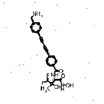 CC(O)(C(F)F)[C@H](NC(=O)c1ccc(C#CC#Cc2ccc(CN)cc2)cc1)C(=O)NO